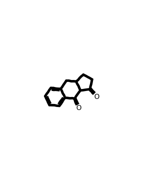 O=C1CCC2Cc3ccccc3C(=O)C12